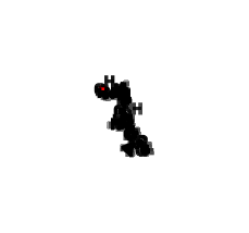 Cc1cn2cc(NC(=O)c3ccc(N4CCC(N(C(=O)OC(C)(C)C)C5CC5)CC4)c4cn(C)nc34)nc2c(CNC2(C)COC2)n1